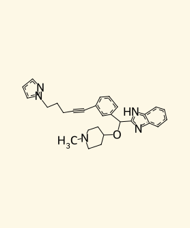 CN1CCC(OC(c2cccc(C#CCCCn3cccn3)c2)c2nc3ccccc3[nH]2)CC1